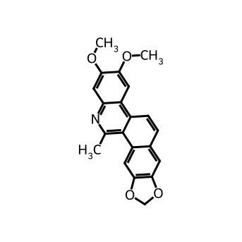 COc1cc2nc(C)c3c4cc5c(cc4ccc3c2cc1OC)OCO5